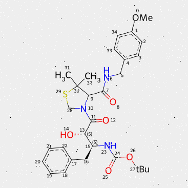 COc1ccc(CNC(=O)C2N(C(=O)[C@@H](O)[C@H](Cc3ccccc3)NC(=O)OC(C)(C)C)CSC2(C)C)cc1